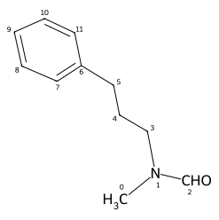 CN(C=O)CCCc1ccccc1